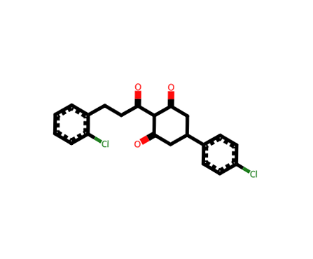 O=C(CCc1ccccc1Cl)C1C(=O)CC(c2ccc(Cl)cc2)CC1=O